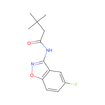 CC(C)(C)CC(=O)Nc1noc2ccc(F)cc12